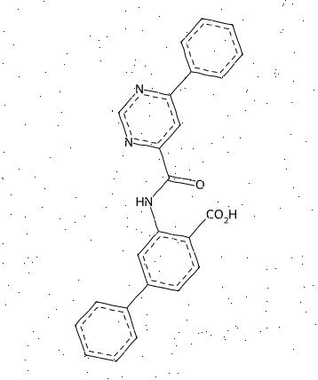 O=C(Nc1cc(-c2ccccc2)ccc1C(=O)O)c1cc(-c2ccccc2)ncn1